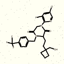 O=C1C(CCC2(CO)CCC2)N(Cc2ccc(C(F)(F)F)cc2)C(=O)CN1c1ncc(Cl)cc1F